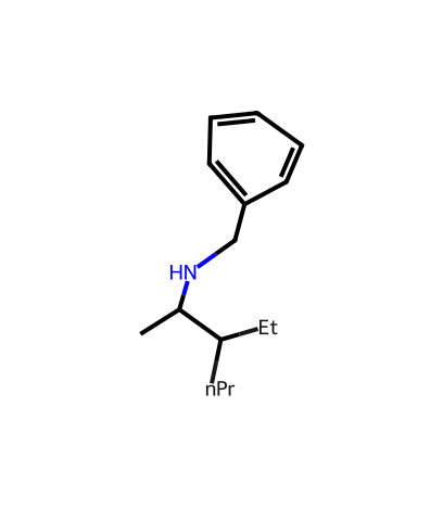 CCCC(CC)C(C)NCc1ccccc1